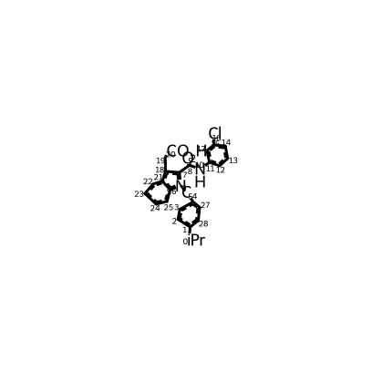 CC(C)c1ccc(Cn2c(C(=O)Nc3cccc(Cl)c3)c(CC(=O)O)c3ccccc32)cc1